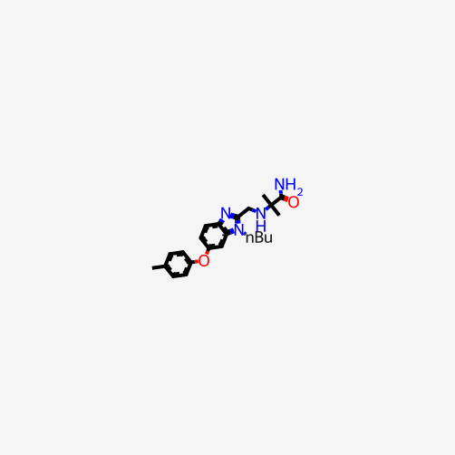 CCCCn1c(CNC(C)(C)C(N)=O)nc2ccc(Oc3ccc(C)cc3)cc21